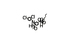 CCCCCS(=O)(=O)NC(=O)c1ccc(NC(C)=O)c(N(C)Cc2ccc(Cl)cc2Cl)c1